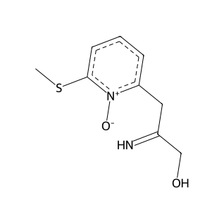 CSc1cccc(CC(=N)CO)[n+]1[O-]